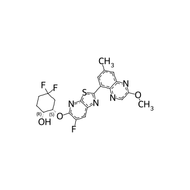 COc1cnc2c(-c3nc4cc(F)c(O[C@H]5CC(F)(F)CC[C@H]5O)nc4s3)cc(C)cc2n1